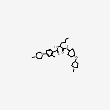 CCCCC(NC(=O)c1ccc(N2CCN(C)CC2)cc1C)C(=O)NC1CCC(OC2CCN(C)CC2)CC1